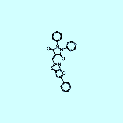 O=C1C(=Cc2nc3oc(-c4ccccc4)cc3s2)C(=O)N(c2ccccc2)N1c1ccccc1